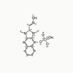 CN1c2nc3ccccc3nc2N(C)C1C=NO.[O-][Cl+3]([O-])([O-])O